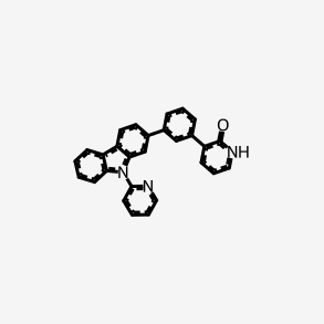 O=c1[nH]cccc1-c1cccc(-c2ccc3c4ccccc4n(-c4ccccn4)c3c2)c1